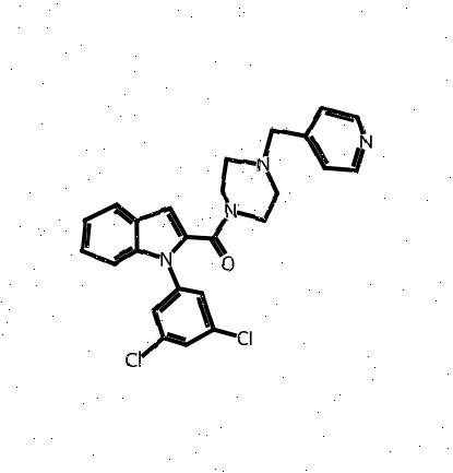 O=C(c1cc2ccccc2n1-c1cc(Cl)cc(Cl)c1)N1CCN(Cc2ccncc2)CC1